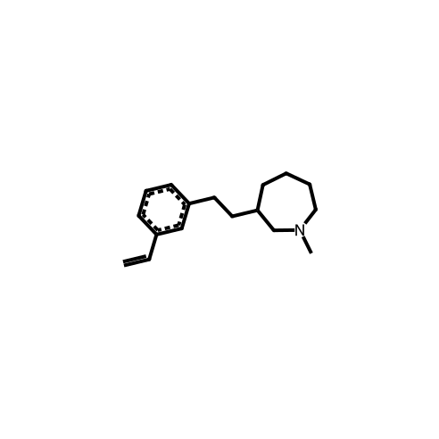 C=Cc1cccc(CCC2CCCCN(C)C2)c1